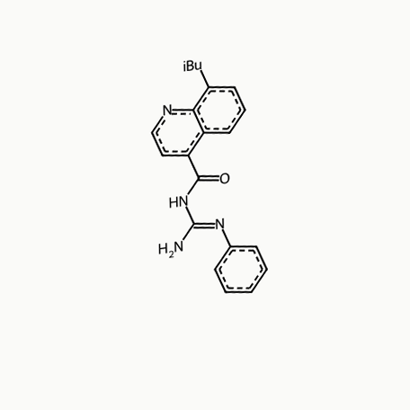 CCC(C)c1cccc2c(C(=O)NC(N)=Nc3ccccc3)ccnc12